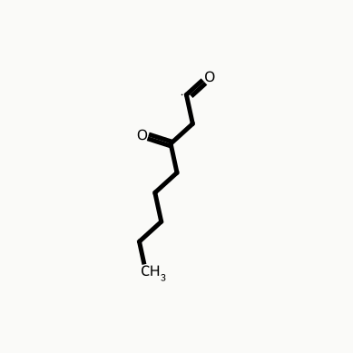 CCCCCC(=O)C[C]=O